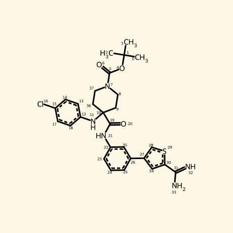 CC(C)(C)OC(=O)N1CCC(Nc2ccc(Cl)cc2)(C(=O)Nc2cccc(-c3csc(C(=N)N)c3)c2)CC1